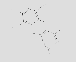 COc1cc(Oc2c(C)nc(N)nc2N)c(C(C)C)cc1OC